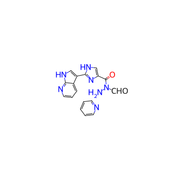 NN(C=O)C(=O)c1c[nH]c(-c2c[nH]c3ncccc23)n1.c1ccncc1